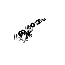 C=CCn1c(=O)c2cnc(Nc3ccc(N4CC5CC(CN(CCF)C5)C4)cc3)nc2n1-c1ccc2c(n1)[C@](O)(CC)CC2